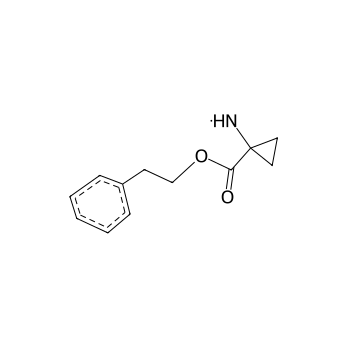 [NH]C1(C(=O)OCCc2ccccc2)CC1